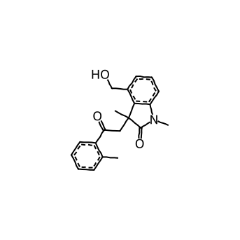 Cc1ccccc1C(=O)CC1(C)C(=O)N(C)c2cccc(CO)c21